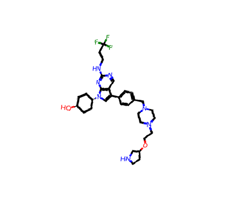 O[C@H]1CC[C@H](n2cc(-c3ccc(CN4CCN(CCOC5CCNC5)CC4)cc3)c3cnc(NCCC(F)(F)F)nc32)CC1